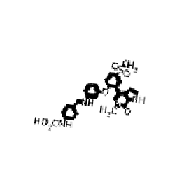 Cn1cc(-c2cc(S(C)(=O)=O)ccc2Oc2cccc(NCc3ccc(NC(=O)O)cc3)c2)c2cc[nH]c2c1=O